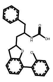 O=C(O)NC(Cc1ccccc1)CC1Cc2cccc(-c3ccccc3Cl)c2O1